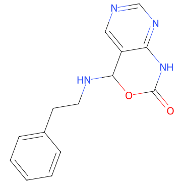 O=C1Nc2ncncc2C(NCCc2ccccc2)O1